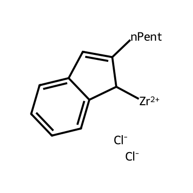 CCCCCC1=Cc2ccccc2[CH]1[Zr+2].[Cl-].[Cl-]